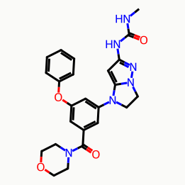 CNC(=O)Nc1cc2n(n1)CCN2c1cc(Oc2ccccc2)cc(C(=O)N2CCOCC2)c1